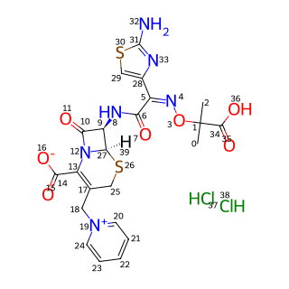 CC(C)(O/N=C(\C(=O)N[C@@H]1C(=O)N2C(C(=O)[O-])=C(C[n+]3ccccc3)CS[C@H]12)c1csc(N)n1)C(=O)O.Cl.Cl